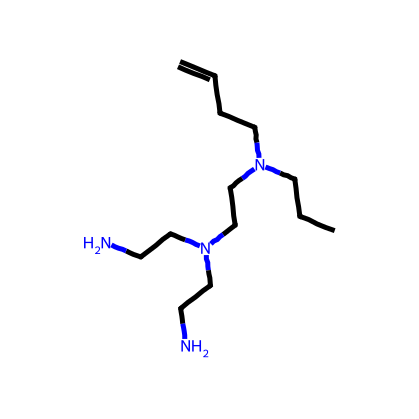 C=CCCN(CCC)CCN(CCN)CCN